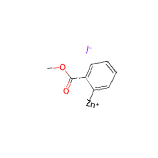 COC(=O)c1cccc[c]1[Zn+].[I-]